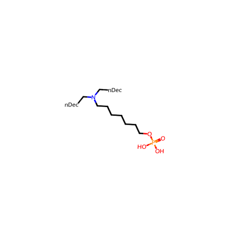 CCCCCCCCCCCN(CCCCCCCCCCC)CCCCCCCOP(=O)(O)O